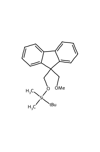 COCC1(CO[Si](C)(C)C(C)(C)C)c2ccccc2-c2ccccc21